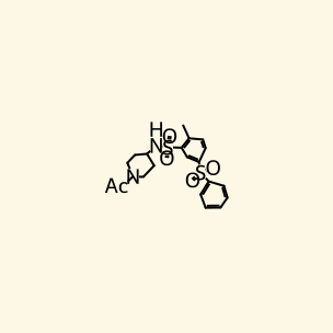 CC(=O)N1CCC(NS(=O)(=O)c2cc(S(=O)(=O)c3ccccc3)ccc2C)CC1